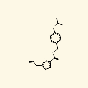 CC(C)Nc1ccc(CNC(=O)c2ccc(CC=O)s2)cc1